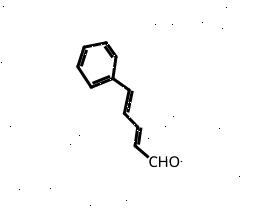 O=[C]C=CC=Cc1ccccc1